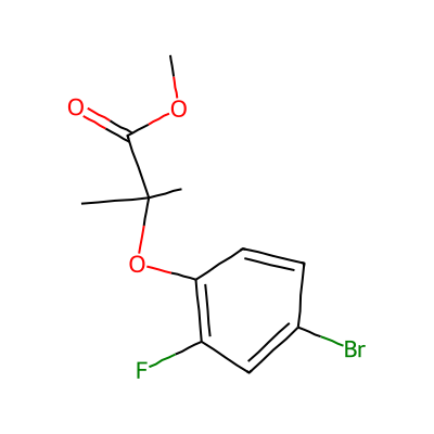 COC(=O)C(C)(C)Oc1ccc(Br)cc1F